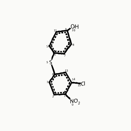 O=[N+]([O-])c1ccc(Sc2ccc(O)cc2)cc1Cl